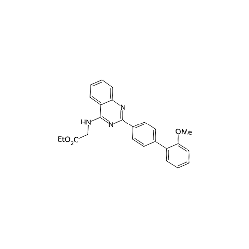 CCOC(=O)CNc1nc(-c2ccc(-c3ccccc3OC)cc2)nc2ccccc12